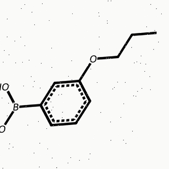 CCCOc1cccc(B(O)O)c1